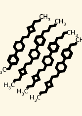 CCCC1CC(CCC2CCC(c3ccc(CC)cc3)CC2)C1.CCCCCc1ccc(C2CCC(CCC3CC(CCC)C3)CC2)cc1.CCCCc1ccc(C2CCC(CCC3CC(CCC)C3)CC2)cc1.CCCc1ccc(C2CCC(CCC3CC(CCC)C3)CC2)cc1